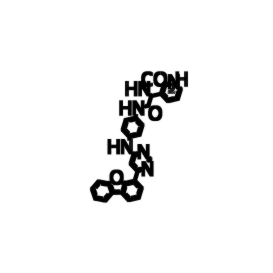 O=C(O)NC(C(=O)Nc1ccc(Nc2cc(-c3cccc4c3oc3ccccc34)ncn2)cc1)c1cccnc1